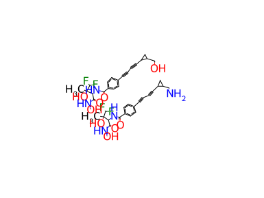 CC(O)(C(F)F)C(NC(=O)c1ccc(C#CC#CC2CC2CN)cc1)C(=O)NO.CC(O)(C(F)F)C(NC(=O)c1ccc(C#CC#CC2CC2CO)cc1)C(=O)NO